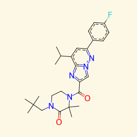 CC(C)c1cc(-c2ccc(F)cc2)nn2cc(C(=O)N3CCN(CC(C)(C)C)C(=O)C3(C)C)nc12